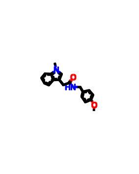 COc1ccc(CNC(=O)Cc2cn(C)c3ccccc23)cc1